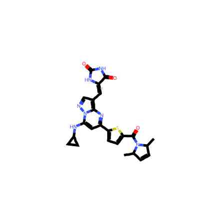 CC1C=CC(C)N1C(=O)c1ccc(-c2cc(NC3CC3)n3ncc(/C=C4\NC(=O)NC4=O)c3n2)s1